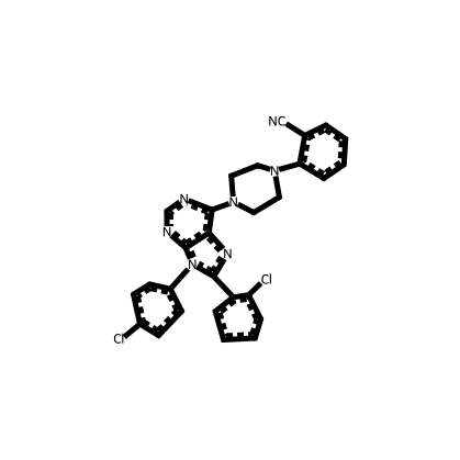 N#Cc1ccccc1N1CCN(c2ncnc3c2nc(-c2ccccc2Cl)n3-c2ccc(Cl)cc2)CC1